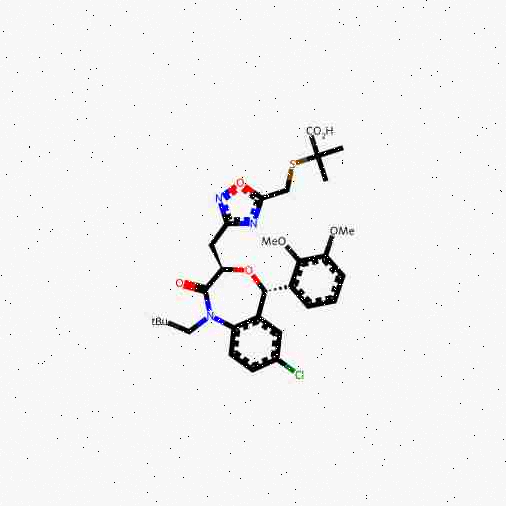 COc1cccc([C@H]2O[C@H](Cc3noc(CSC(C)(C)C(=O)O)n3)C(=O)N(CC(C)(C)C)c3ccc(Cl)cc32)c1OC